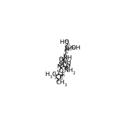 Cc1cc(C)c(COc2nsc(NC(=O)NCCCN(CCO)CCO)c2C(N)=O)c(F)c1